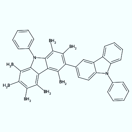 Bc1c(B)c(B)c2c(c1B)c1c(B)c(-c3ccc4c(c3)c3ccccc3n4-c3ccccc3)c(B)c(B)c1n2-c1ccccc1